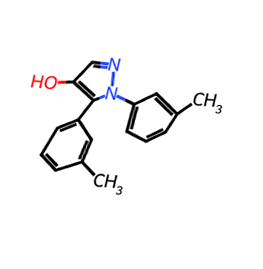 Cc1cccc(-c2c(O)cnn2-c2cccc(C)c2)c1